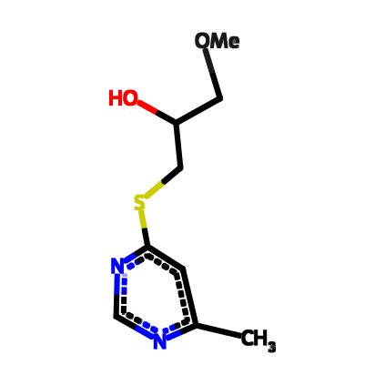 COCC(O)CSc1cc(C)ncn1